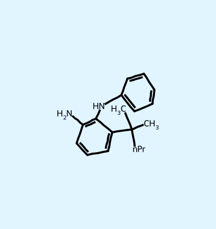 CCCC(C)(C)c1cccc(N)c1Nc1ccccc1